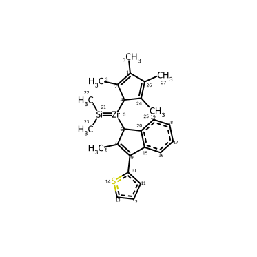 CC1=C(C)[CH]([Zr]([CH]2C(C)=C(c3cccs3)c3ccccc32)=[Si](C)C)C(C)=C1C